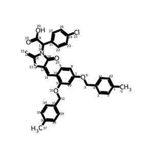 Cc1ccc(COc2ccc(C=C3SC(=S)N(C(C(=O)O)c4ccc(Cl)cc4)C3=O)c(OCc3ccc(C)cc3)c2)cc1